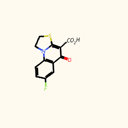 O=C(O)c1c2n(c3ccc(F)cc3c1=O)CCS2